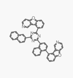 c1ccc2cc(-c3nc(-c4ccc(-c5cccc6oc7ccncc7c56)c5ccccc45)nc(-c4cccc5oc6ccncc6c45)n3)ccc2c1